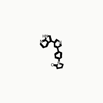 O=C1CCCN1c1ccc(-c2cncc(-c3c[nH]c4ncccc34)c2)cc1